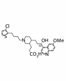 COc1ccc2nccc([C@@H](O)CCC3CCN(CCCCc4sccc4Cl)CC3CCC(=O)O)c2c1